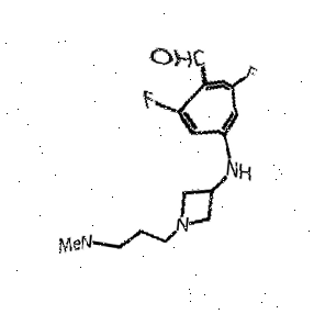 CNCCCN1CC(Nc2cc(F)c(C=O)c(F)c2)C1